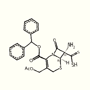 CC(=O)OCC1=C(C(=O)OC(c2ccccc2)c2ccccc2)N2C(=O)[C@@](N)(C(=S)S)[C@H]2SC1